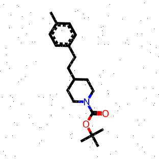 Cc1ccc(CCC2CCN(C(=O)OC(C)(C)C)CC2)cc1